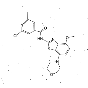 COc1ccc(N2CCOCC2)c2sc(NC(=O)c3cc(C)nc(Cl)c3)nc12